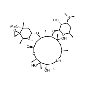 CO[C@]1(C)C[C@H](O[C@H]2[C@H](C)[C@@H](O[C@@H]3O[C@H](C)C[C@H](N(C)C)[C@H]3O)[C@](C)(O)C[C@@H](C)CN[C@H](C)[C@@H](O)[C@](C)(O)[C@@H](C)OC(=O)[C@@H]2C)O[C@@H](C)[C@@]12CO2